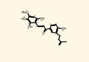 C=C(C)CCc1cc(C(=O)C=Cc2c(O)cc(OC)c(O)c2O)ccc1O